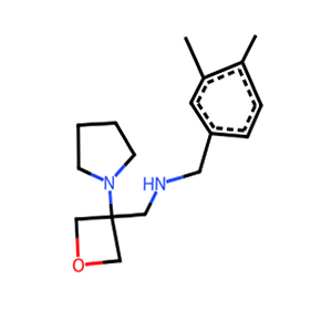 Cc1ccc(CNCC2(N3CCCC3)COC2)cc1C